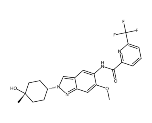 COc1cc2nn([C@H]3CC[C@@](C)(O)CC3)cc2cc1NC(=O)c1cccc(C(F)(F)F)n1